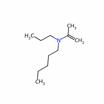 C=C(C)N(CCC)CCCCC